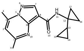 Cc1cc(C)n2ncc(C(=O)NC3(C4CC4)CC3)c2n1